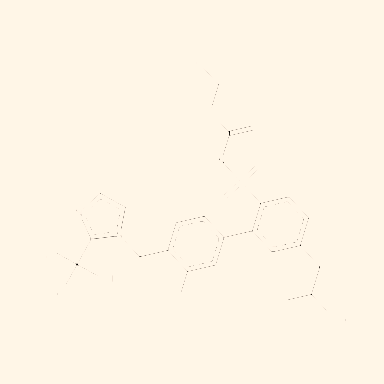 CCOC(=O)NS(=O)(=O)c1ccc(CC(C)C)cc1-c1ccc(Cn2ccnc2C(C)(C)C)c(F)c1